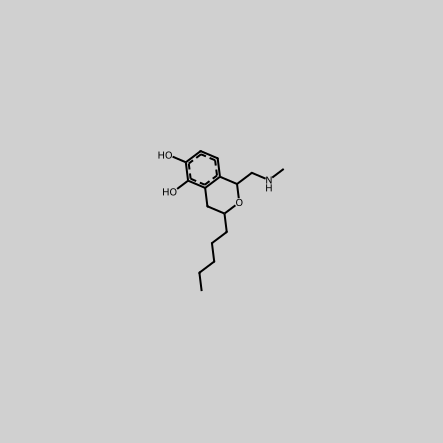 CCCCCC1Cc2c(ccc(O)c2O)C(CNC)O1